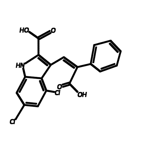 O=C(O)C(=Cc1c(C(=O)O)[nH]c2cc(Cl)cc(Cl)c12)c1ccccc1